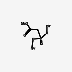 CCCOP(=O)(CC(=O)OC)OCCC